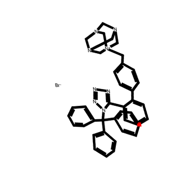 [Br-].c1ccc(C(c2ccccc2)(c2ccccc2)n2nnnc2-c2ccccc2-c2ccc(C[N+]34CN5CN(CN(C5)C3)C4)cc2)cc1